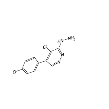 NNc1nncc(-c2ccc(Cl)cc2)c1Cl